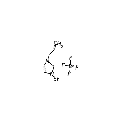 C=CCN1C=CN(CC)C1.F[B-](F)(F)F